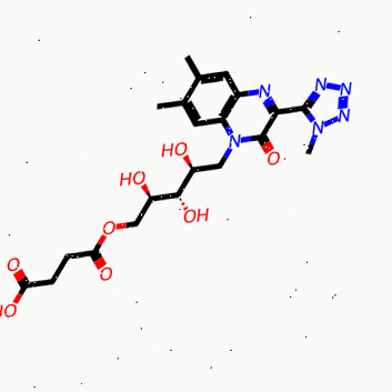 Cc1cc2nc(-c3nnnn3C)c(=O)n(C[C@H](O)[C@H](O)[C@H](O)COC(=O)CCC(=O)O)c2cc1C